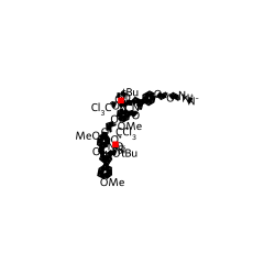 COc1ccc(C2=CN3C(=O)c4cc(OC)c(OCCCOc5cc6c(cc5OC)C(=O)N5C=C(c7ccc(OCCOCCN=[N+]=[N-])cc7)CC5C(O[Si](C)(C)C(C)(C)C)N6C(=O)OCC(Cl)(Cl)Cl)cc4N(C(=O)OCC(Cl)(Cl)Cl)C(O[Si](C)(C)C(C)(C)C)C3C2)cc1